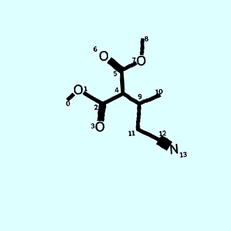 COC(=O)C(C(=O)OC)C(C)CC#N